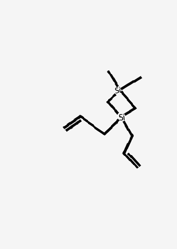 C=CC[Si]1(CC=C)C[Si](C)(C)C1